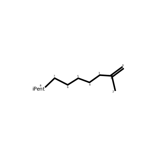 C=C(C)CCCCCC(C)CCC